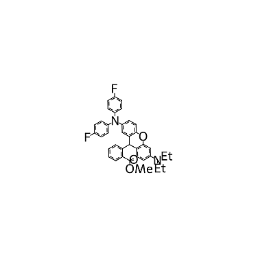 CCN(CC)c1ccc2c(c1)Oc1ccc(N(c3ccc(F)cc3)c3ccc(F)cc3)cc1C2c1ccccc1C(=O)OC